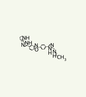 CCCNCc1ncc(-c2ccc(-c3nc4cc(-c5cnc([C@@H]6CCCN6)[nH]5)ccc4o3)cc2)[nH]1